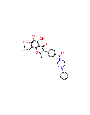 Cc1oc2c(CC(C)C)c(O)c(O)c(O)c2c(=O)c1-c1ccc(C(=O)N2CCN(c3ccccc3)CC2)cc1